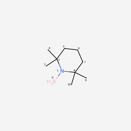 BN1C(C)(C)CCCC1(C)C